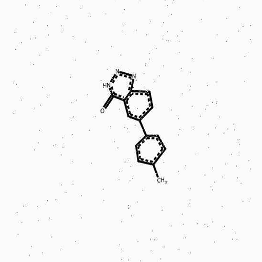 Cc1ccc(-c2ccc3nn[nH]c(=O)c3c2)cc1